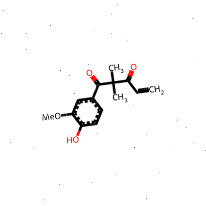 C=CC(=O)C(C)(C)C(=O)c1ccc(O)c(OC)c1